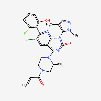 C=CC(=O)N1CCN(c2nc(=O)n(-c3c(C)cnn3CCC)c3nc(-c4c(O)cccc4F)c(Cl)cc23)[C@@H](C)C1